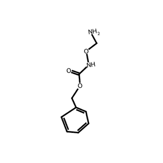 NCONC(=O)OCc1ccccc1